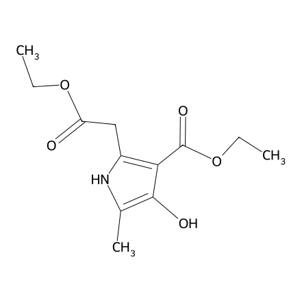 CCOC(=O)Cc1[nH]c(C)c(O)c1C(=O)OCC